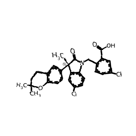 CC1(C)CCc2cc([C@]3(C)C(=O)N(Cc4ccc(Cl)cc4C(=O)O)c4ccc(Cl)cc43)ccc2O1